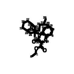 CCOC(=O)c1nc2ccccc2n(C2CC3CCCC(C2)N3C(C)CCC(C)C)c1=O